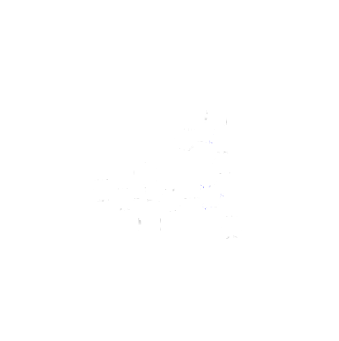 c1ccc(-c2nc(-c3cccc(-n4c5ccccc5c5ccccc54)c3)nc(-c3ccc4c(c3)-c3ccccc3C43c4ccccc4-c4cc5ccccc5cc43)n2)cc1